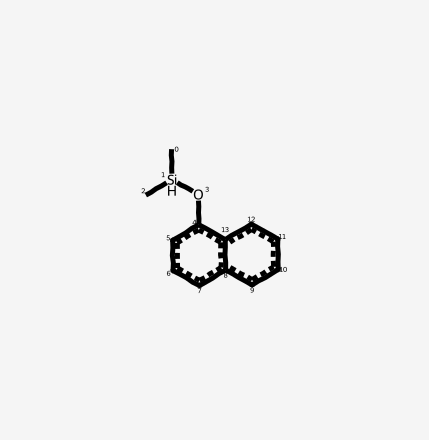 C[SiH](C)Oc1cccc2ccccc12